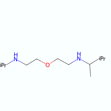 CC(C)NCCOCCNC(C)C(C)C